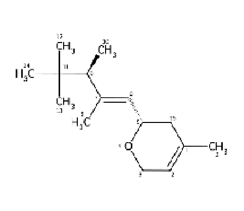 CC1=CCO[C@H](/C=C(\C)[C@H](C)C(C)(C)C)C1